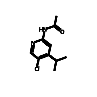 CC(=O)Nc1cc(C(C)C)c(Cl)cn1